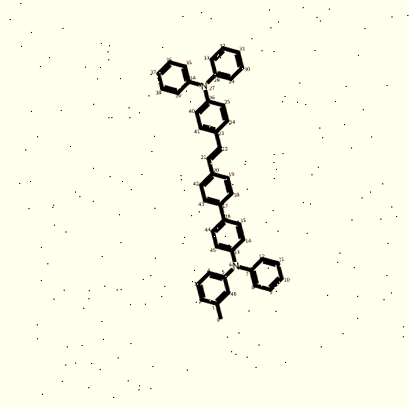 Cc1cccc(N(c2ccccc2)c2ccc(-c3ccc(/C=C/c4ccc(N(c5ccccc5)c5ccccc5)cc4)cc3)cc2)c1